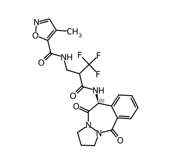 Cc1cnoc1C(=O)NCC(C(=O)N[C@@H]1C(=O)N2CCCN2C(=O)c2ccccc21)C(F)(F)F